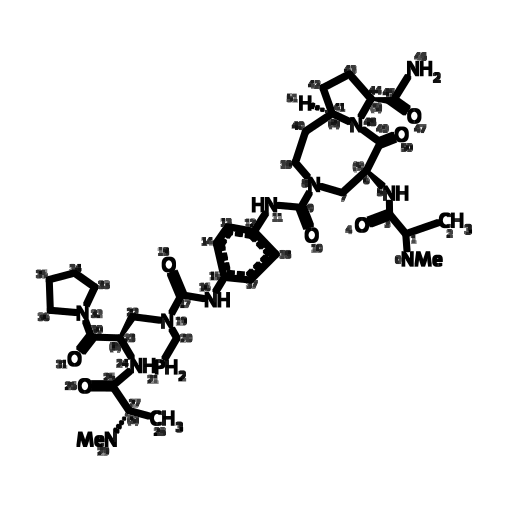 CNC(C)C(=O)N[C@H]1CN(C(=O)Nc2ccc(NC(=O)N(CP)C[C@@H](NC(=O)[C@H](C)NC)C(=O)N3CCCC3)cc2)CC[C@H]2CC[C@@H](C(N)=O)N2C1=O